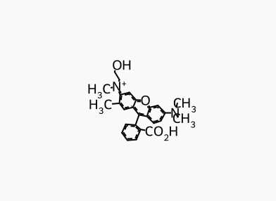 Cc1cc2c(-c3ccccc3C(=O)O)c3ccc(N(C)C)cc3oc-2c/c1=[N+](/C)CCO